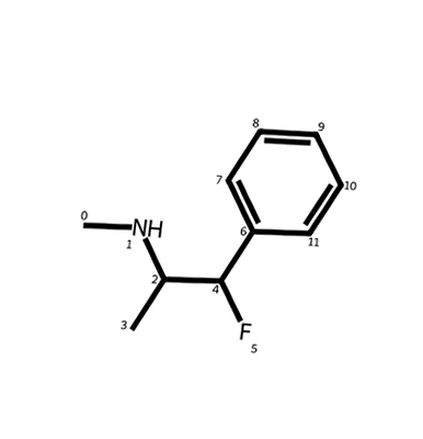 CNC(C)C(F)c1ccccc1